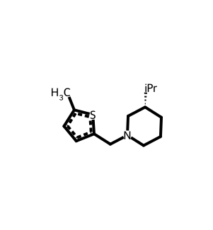 Cc1ccc(CN2CCC[C@@H](C(C)C)C2)s1